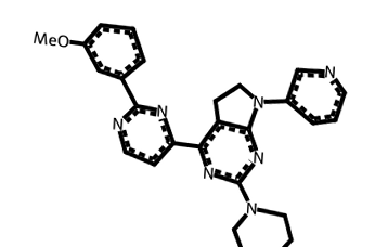 COc1cccc(-c2nccc(-c3nc(N4CCOCC4)nc4c3CCN4c3cccnc3)n2)c1